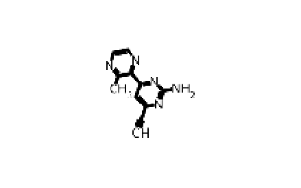 C#Cc1cc(-c2nccnc2C)nc(N)n1